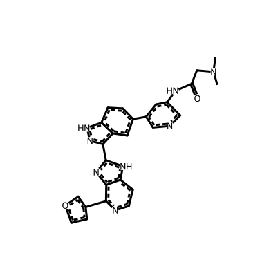 CN(C)CC(=O)Nc1cncc(-c2ccc3[nH]nc(-c4nc5c(-c6ccoc6)nccc5[nH]4)c3c2)c1